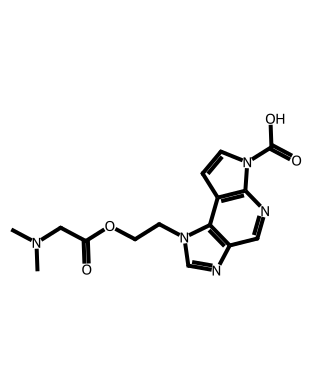 CN(C)CC(=O)OCCn1cnc2cnc3c(ccn3C(=O)O)c21